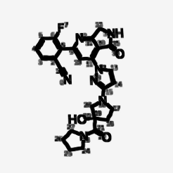 N#Cc1cccc(F)c1-c1cc(-n2ccc(N3CC[C@](O)(C(=O)N4CCCC4)C3)n2)c2c(n1)CNC2=O